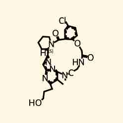 Cc1c(CCCO)nc2cc3nn2c1N(C)CCNC(=O)COc1ccc(Cl)cc1C(=O)N1CCCC[C@@H]31